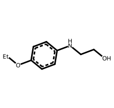 CCOc1ccc(NCCO)cc1